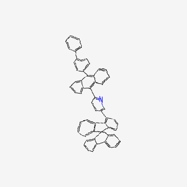 c1ccc(-c2ccc(-c3c4ccccc4c(-c4ccc(-c5cccc6c5-c5ccccc5C65c6ccccc6-c6ccccc65)cn4)c4ccccc34)cc2)cc1